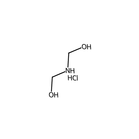 Cl.OCNCO